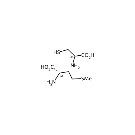 CSCC[C@H](N)C(=O)O.N[C@@H](CS)C(=O)O